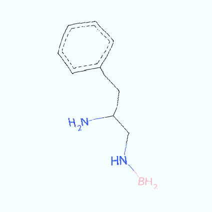 BNCC(N)Cc1ccccc1